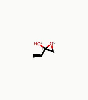 C=CC1(O)CO1